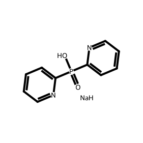 O=P(O)(c1ccccn1)c1ccccn1.[NaH]